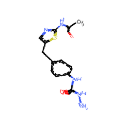 CC(=O)Nc1ncc(Cc2ccc(NC(=O)NN)cc2)s1